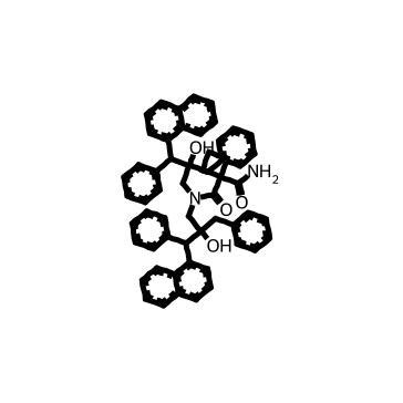 NC(=O)C1(C(=O)N(CC(O)(Cc2ccccc2)C(c2ccccc2)c2cccc3ccccc23)CC(O)(Cc2ccccc2)C(c2ccccc2)c2cccc3ccccc23)CCC1